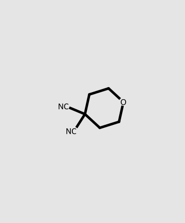 N#CC1(C#N)CCOCC1